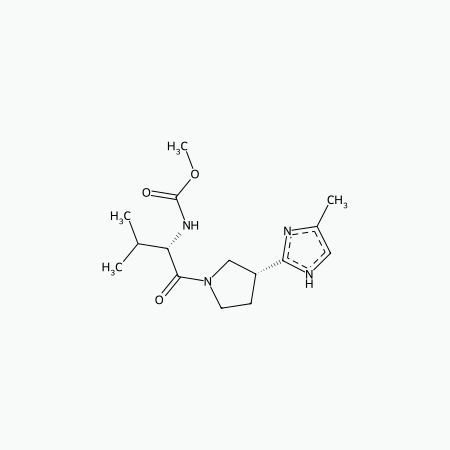 COC(=O)N[C@H](C(=O)N1CC[C@@H](c2nc(C)c[nH]2)C1)C(C)C